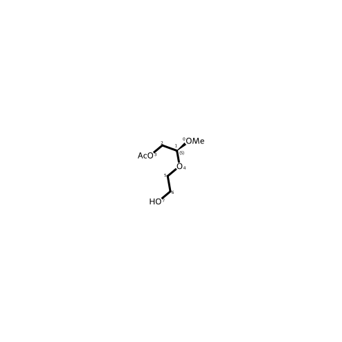 CO[C@H](COC(C)=O)OCCO